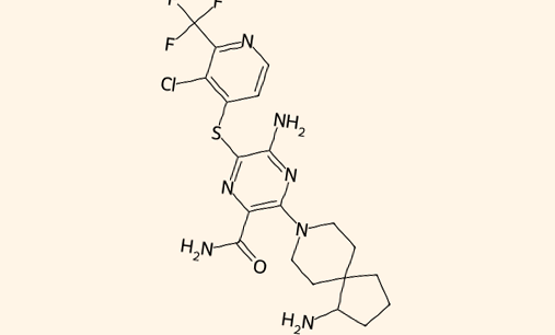 NC(=O)c1nc(Sc2ccnc(C(F)(F)F)c2Cl)c(N)nc1N1CCC2(CCCC2N)CC1